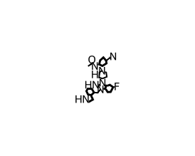 CC(=O)Nc1ccc(C#N)cc1N1CCC(n2c(=N)n(Cc3cccc4[nH]ccc34)c3ccc(F)cc32)CC1